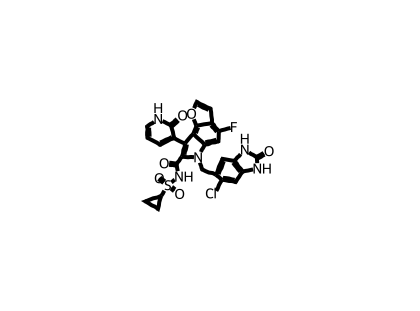 O=C(NS(=O)(=O)C1CC1)c1c(-c2ccc[nH]c2=O)c2c3occc3c(F)cc2n1Cc1cc2[nH]c(=O)[nH]c2cc1Cl